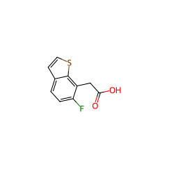 O=C(O)Cc1c(F)ccc2ccsc12